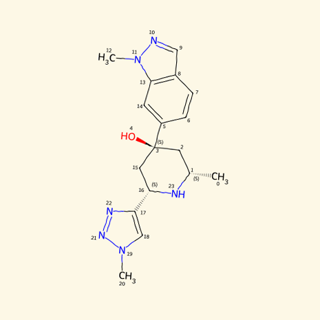 C[C@H]1C[C@@](O)(c2ccc3cnn(C)c3c2)C[C@@H](c2cn(C)nn2)N1